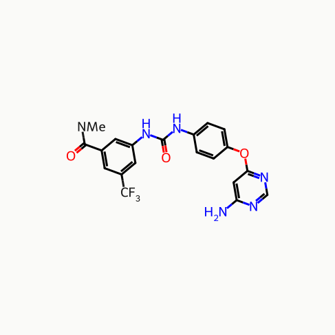 CNC(=O)c1cc(NC(=O)Nc2ccc(Oc3cc(N)ncn3)cc2)cc(C(F)(F)F)c1